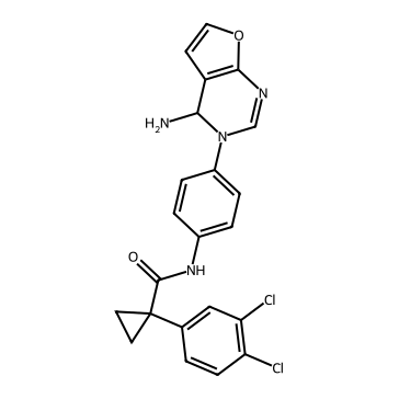 NC1c2ccoc2N=CN1c1ccc(NC(=O)C2(c3ccc(Cl)c(Cl)c3)CC2)cc1